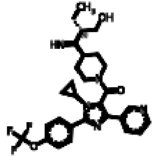 CC[C@H](CO)C(=N)C1CCN(C(=O)c2c(-c3cccnc3)nc(-c3ccc(OC(F)(F)F)cc3)n2C2CC2)CC1